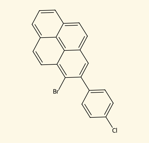 Clc1ccc(-c2cc3ccc4cccc5ccc(c2Br)c3c45)cc1